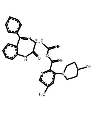 N=C(N[C@H]1N=C(c2ccccc2)c2ccccc2NC1=O)OC(=N)c1ncc(C(F)(F)F)cc1N1CCC(O)CC1